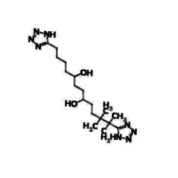 CC(C)(CCC(O)CCC(O)CCCCc1nnn[nH]1)C(C)(C)c1nnn[nH]1